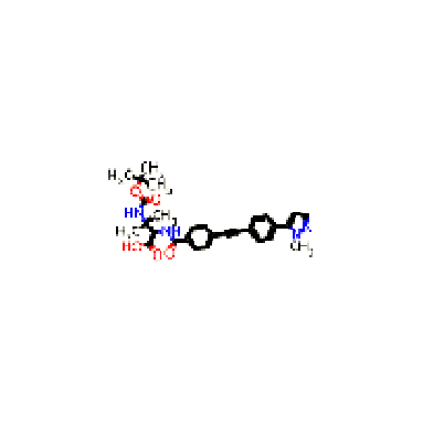 Cn1nccc1-c1ccc(C#Cc2ccc(C(=O)NC(C(=O)O)C(C)(C)NC(=O)OC(C)(C)C)cc2)cc1